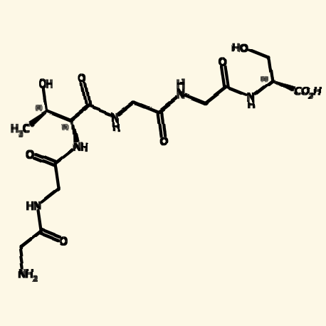 C[C@@H](O)[C@H](NC(=O)CNC(=O)CN)C(=O)NCC(=O)NCC(=O)N[C@@H](CO)C(=O)O